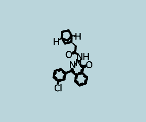 O=C(C[C@H]1C[C@@H]2CC[C@H]1C2)Nn1nc(-c2cccc(Cl)c2)c2ccccc2c1=O